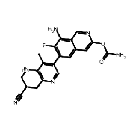 Cc1c(-c2cc3cc(OC(N)=O)ncc3c(N)c2F)cnc2c1NCC(C#N)C2